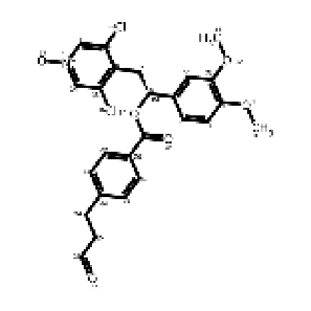 COc1ccc([C@H](Cc2c(Cl)c[n+]([O-])cc2Cl)OC(=O)c2ccc(CCC=O)cc2)cc1OC